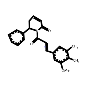 COc1cc(/C=C/C(=O)N2C(=O)C=CCC2c2ccccc2)cc(C)c1C